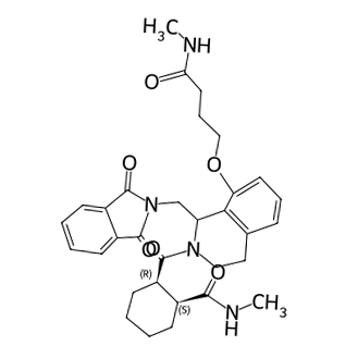 CNC(=O)CCCOc1cccc2c1C(CN1C(=O)c3ccccc3C1=O)N(C(=O)[C@@H]1CCCC[C@@H]1C(=O)NC)CC2